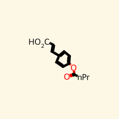 CCCC(=O)Oc1ccc(/C=C/C(=O)O)cc1